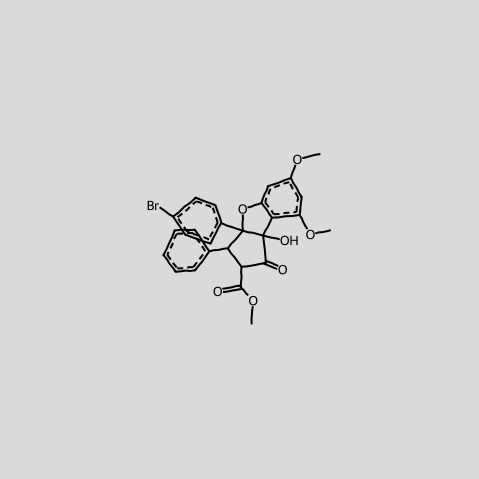 COC(=O)C1C(=O)C2(O)c3c(OC)cc(OC)cc3OC2(c2ccc(Br)cc2)C1c1ccccc1